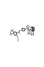 CCCCc1cc2c(cc1/C(C)=C/c1ccc(C(=O)Nc3nnn[nH]3)cc1)C(C)(C)CC2(C)C